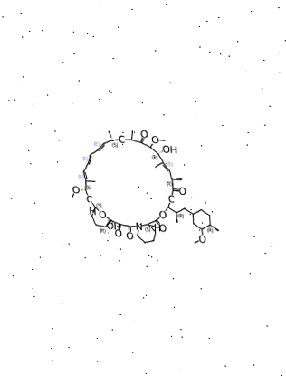 COC1CC(C[C@@H](C)C2CC(=O)[C@H](C)/C=C(\C)[C@@H](O)C(OC)C(=O)C(C)C[C@H](C)/C=C/C=C/C=C(\C)[C@@H](OC)C[C@@H]3CC[C@@H](C)[C@@](O)(O3)C(=O)C(=O)N3CCCC[C@H]3C(=O)O2)CC[C@H]1C